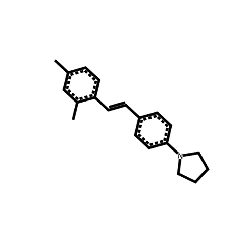 Cc1ccc(C=Cc2ccc(N3CCCC3)cc2)c(C)c1